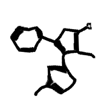 CC1=CCC(C2=C(c3ccccc3)CC(Cl)=C2C)=C1